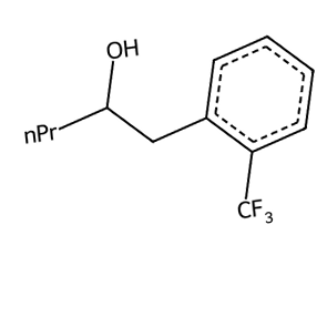 CCCC(O)Cc1ccccc1C(F)(F)F